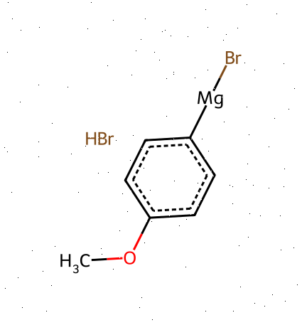 Br.COc1cc[c]([Mg][Br])cc1